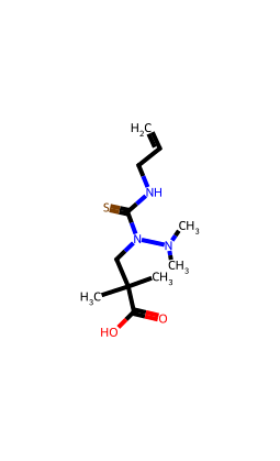 C=CCNC(=S)N(CC(C)(C)C(=O)O)N(C)C